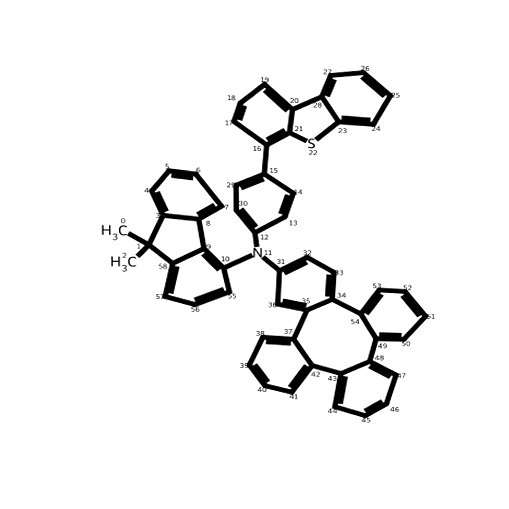 CC1(C)c2ccccc2-c2c(N(c3ccc(-c4cccc5c4sc4ccccc45)cc3)c3ccc4c(c3)-c3ccccc3-c3ccccc3-c3ccccc3-4)cccc21